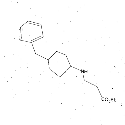 CCOC(=O)CCNC1CCC(Cc2ccccc2)CC1